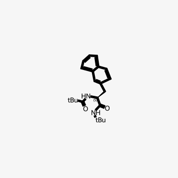 CC(C)(C)NC(=O)[C@H](Cc1ccc2ccccc2c1)NC(=O)C(C)(C)C